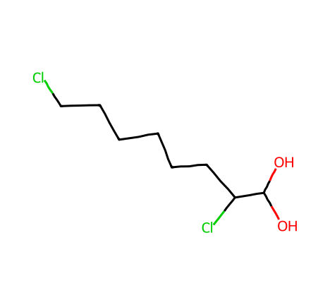 OC(O)C(Cl)CCCCCCCl